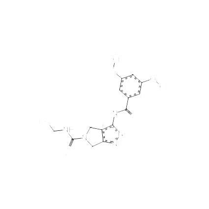 CCNC(=O)N1Cc2[nH]nc(NC(=O)c3cc(OC)cc(OC)c3)c2C1